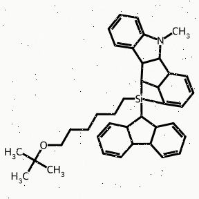 CN1c2ccccc2C2C1C1C=CC=C3C1C2[Si]3(CCCCCCOC(C)(C)C)C1C2C=CC=CC2C2C=CC=CC21